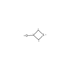 [O]C1CSC1